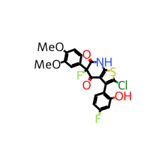 COc1ccc(C2(F)C(=O)Nc3sc(Cl)c(-c4ccc(F)cc4O)c3C2=O)cc1OC